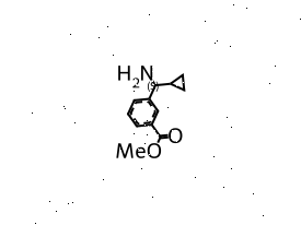 COC(=O)c1cccc([C@@H](N)C2CC2)c1